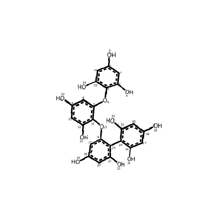 Oc1cc(O)c(Oc2cc(O)cc(O)c2Oc2cc(O)cc(O)c2-c2c(O)cc(O)cc2O)c(O)c1